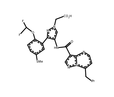 CSc1ccc(OC(F)F)c(-c2nn(CC(=O)O)cc2NC(=O)c2cnn3c(CC(C)C)ccnc23)c1